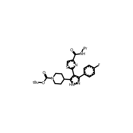 CC(C)NC(=O)c1csc(-c2c(-c3ccc(F)cc3)n[nH]c2C2CCN(C(=O)OC(C)(C)C)CC2)n1